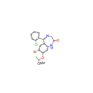 COC(C)Oc1cc2c(cc1Br)C(c1ccccc1Cl)=NCC(=O)N2